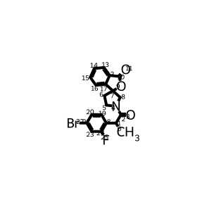 CC(C(=O)N1CCC2(C1)OC(=O)c1ccccc12)c1ccc(Br)cc1F